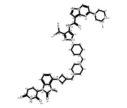 C[C@@H]1CN(c2ccn3ncc(C(=O)Nc4cn([C@H]5CC[C@H](CN6CCN(CC7CN(c8cccc9c8n(C)c(=O)n9C8CCC(=O)NC8=O)C7)CC6)CC5)nc4C(F)F)c3n2)CCO1